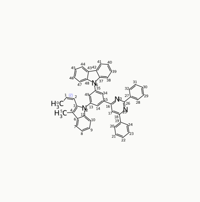 C/C=C\c1c(C)c2ccccc2n1-c1cc(-c2cc(-c3ccccc3)nc(-c3ccccc3)n2)cc(-n2c3ccccc3c3ccccc32)c1